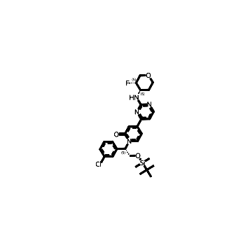 CC(C)(C)[Si](C)(C)OC[C@H](c1cccc(Cl)c1)n1ccc(-c2ccnc(N[C@H]3CCOC[C@H]3F)n2)cc1=O